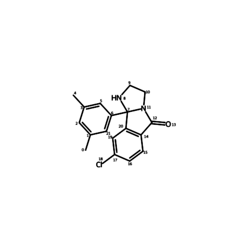 Cc1cc(C)cc(C23NCCN2C(=O)c2ccc(Cl)cc23)c1